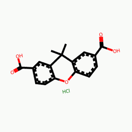 CC1(C)c2cc(C(=O)O)ccc2Oc2ccc(C(=O)O)cc21.Cl